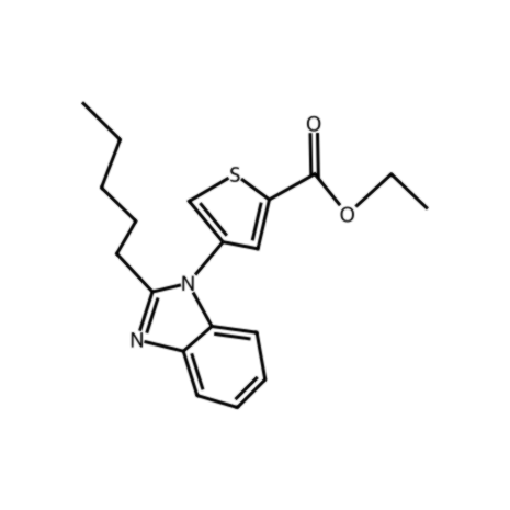 CCCCCc1nc2ccccc2n1-c1csc(C(=O)OCC)c1